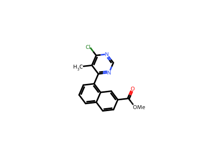 COC(=O)c1ccc2cccc(-c3ncnc(Cl)c3C)c2c1